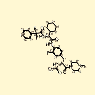 CCC(=O)N[C@H](Cc1ccc(NC(=O)[C@@H](NC(=O)C(F)(F)c2ccncc2)C2CCCCC2)c(F)c1)C(=O)N1CCN(C)CC1